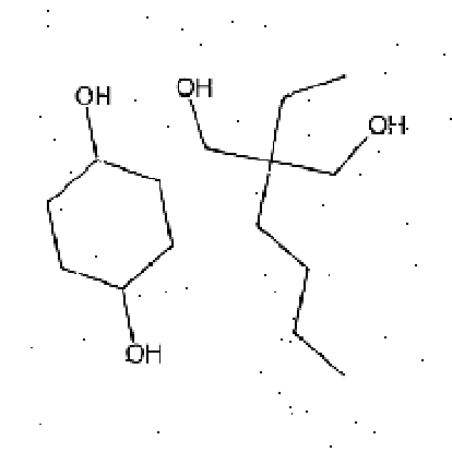 CCCCC(CC)(CO)CO.OC1CCC(O)CC1